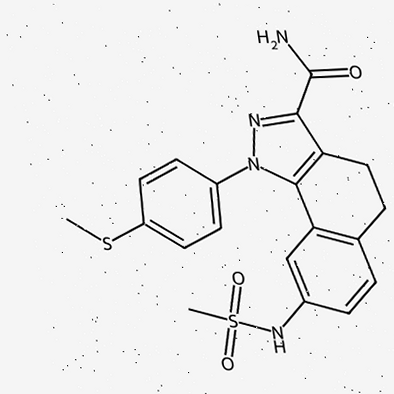 CSc1ccc(-n2nc(C(N)=O)c3c2-c2cc(NS(C)(=O)=O)ccc2CC3)cc1